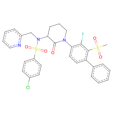 CS(=O)(=O)c1c(-c2ccccc2)ccc(N2CCCC(N(Cc3ccccn3)S(=O)(=O)c3ccc(Cl)cc3)C2=O)c1F